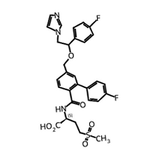 CS(=O)(=O)CC[C@H](NC(=O)c1ccc(COC(Cn2ccnc2)c2ccc(F)cc2)cc1-c1ccc(F)cc1)C(=O)O